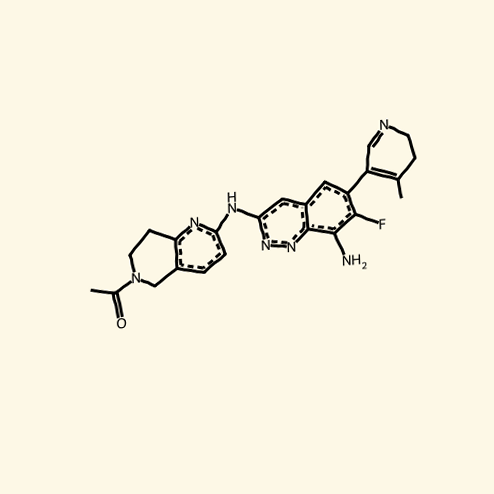 CC(=O)N1CCc2nc(Nc3cc4cc(C5=C(C)CCN=C5)c(F)c(N)c4nn3)ccc2C1